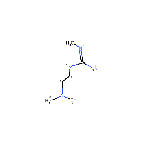 CN=C(N)[N]CCN(C)C